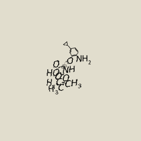 CC(C)(C)OC(=O)N[C@@H](COc1cc(C2CC2)ccc1N)C(=O)O